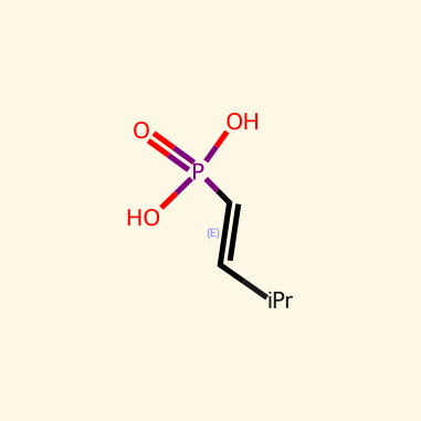 CC(C)/C=C/P(=O)(O)O